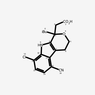 CCC(C)C1(CC(=O)O)OCCc2c1[nH]c1c(Cl)ccc(C#N)c21